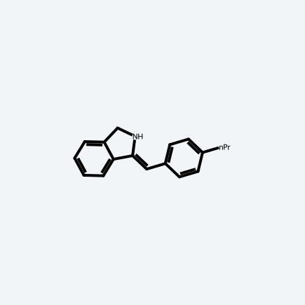 CCCc1ccc(C=C2NCc3ccccc32)cc1